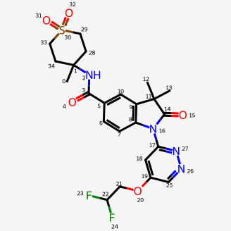 CC1(NC(=O)c2ccc3c(c2)C(C)(C)C(=O)N3c2cc(OCC(F)F)cnn2)CCS(=O)(=O)CC1